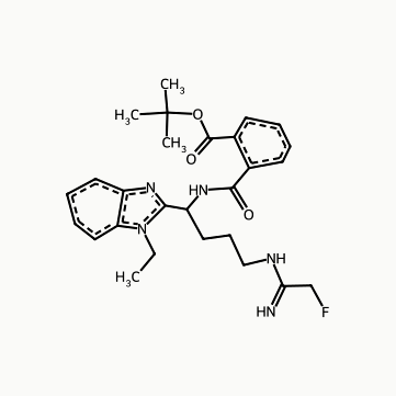 CCn1c(C(CCCNC(=N)CF)NC(=O)c2ccccc2C(=O)OC(C)(C)C)nc2ccccc21